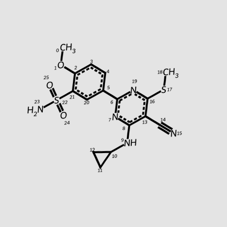 COc1ccc(-c2nc(NC3CC3)c(C#N)c(SC)n2)cc1S(N)(=O)=O